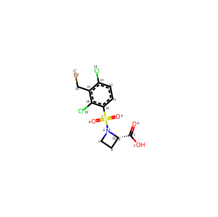 O=C(O)[C@@H]1CCN1S(=O)(=O)c1ccc(Cl)c(CBr)c1Cl